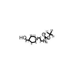 CN(CCN1CCC(CO)CC1)C(=O)OC(C)(C)C